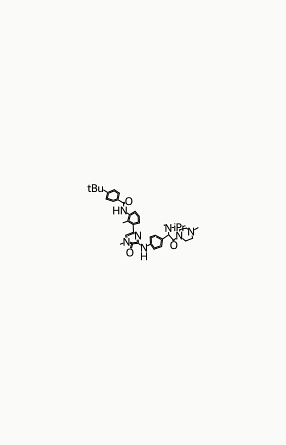 Cc1c(NC(=O)c2ccc(C(C)(C)C)cc2)cccc1-c1cn(C)c(=O)c(Nc2ccc(C(C(=O)N3CCN(C)CC3)N(C)C(C)C)cc2)n1